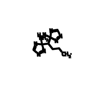 [CH2]CCC(C1(N)N=CN=N1)C1(N)N=CN=N1